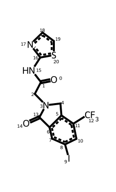 O=C(CN1Cc2c(cc(I)cc2C(F)(F)F)C1=O)Nc1nccs1